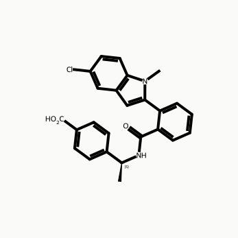 C[C@H](NC(=O)c1ccccc1-c1cc2cc(Cl)ccc2n1C)c1ccc(C(=O)O)cc1